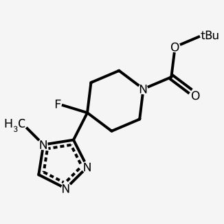 Cn1cnnc1C1(F)CCN(C(=O)OC(C)(C)C)CC1